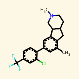 Cc1cc(-c2ccc(C(F)(F)F)cc2Cl)cc2c1CC1CCN(C)CC21